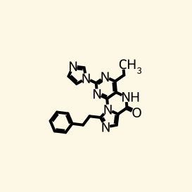 CCc1nc(-n2ccnc2)nc2c1[nH]c(=O)c1cnc(CCc3ccccc3)n12